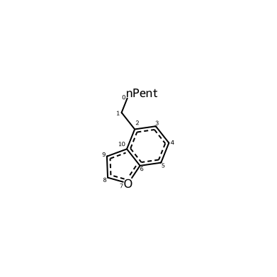 [CH2]CCCCCc1cccc2occc12